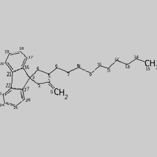 C=CCC1(CCCCCCCCCCCC)c2ccccc2-c2ccccc21